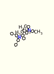 Cc1ccc(N(c2cccc(C)c2)c2ccc3c(c2)C(C)(C)c2cc(-n4c5ccc(-c6ccccc6)cc5c5cc(-c6ccccc6)ccc54)c4ccccc4c2-3)cc1